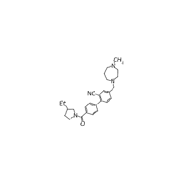 CCC1CCN(C(=O)c2ccc(-c3ccc(CN4CCCN(C)CC4)cc3C#N)cc2)C1